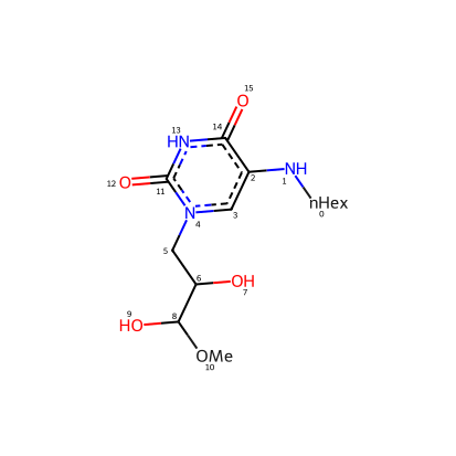 CCCCCCNc1cn(CC(O)C(O)OC)c(=O)[nH]c1=O